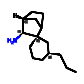 CCC[C@@H]1CCC[C@@]2(C1)C1CC[C@H](C1)[C@H]2N